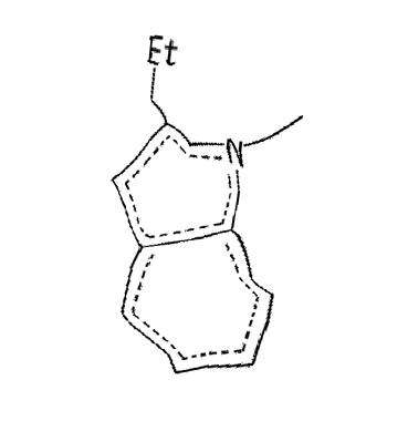 CCc1cc2ccccc2n1C